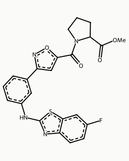 COC(=O)C1CCCN1C(=O)c1cc(-c2cccc(Nc3nc4ccc(F)cc4s3)c2)no1